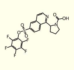 O=C(O)N1CCCC1c1nccc2cc(S(=O)(=O)Oc3c(F)c(F)c(F)c(F)c3F)ccc12